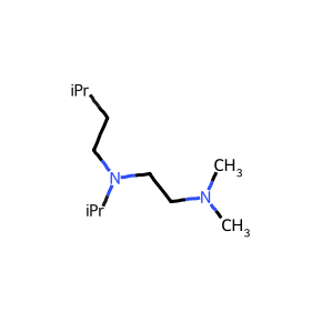 CC(C)CCN(CCN(C)C)C(C)C